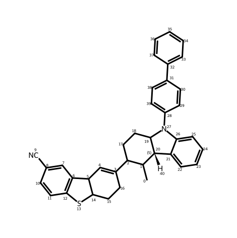 CC1C(C2=CC3c4cc(C#N)ccc4SC3CC2)CCC2[C@@H]1c1ccccc1N2c1ccc(-c2ccccc2)cc1